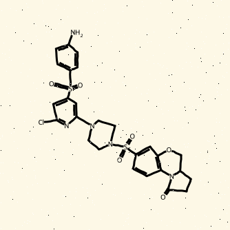 Nc1ccc(S(=O)(=O)c2cc(Cl)nc(N3CCN(S(=O)(=O)c4ccc5c(c4)OCC4CCC(=O)N54)CC3)c2)cc1